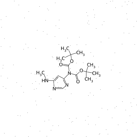 CNc1cc(N(C(=O)OC(C)(C)C)C(=O)OC(C)(C)C)ncn1